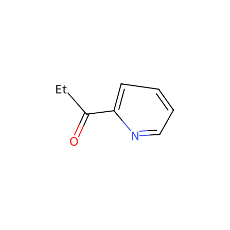 CCC(=O)c1ccccn1